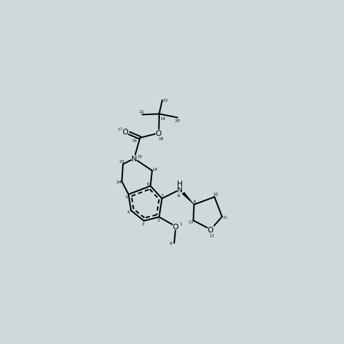 COc1ccc2c(c1N[C@H]1CCOC1)CN(C(=O)OC(C)(C)C)CC2